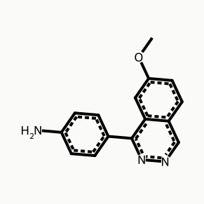 COc1ccc2cnnc(-c3ccc(N)cc3)c2c1